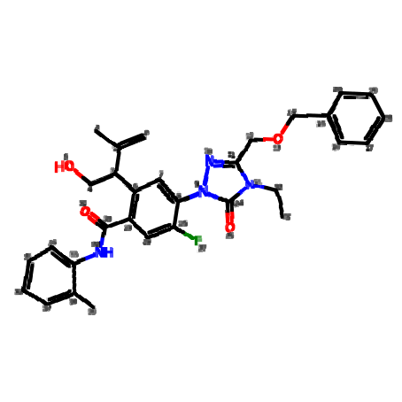 C=C(C)C(CO)c1cc(-n2nc(COCc3ccccc3)n(CC)c2=O)c(F)cc1C(=O)Nc1ccccc1C